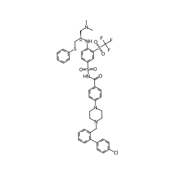 CN(C)C[C@H](CSc1ccccc1)Nc1ccc(S(=O)(=O)NC(=O)c2ccc(N3CCN(Cc4ccccc4-c4ccc(Cl)cc4)CC3)cc2)cc1S(=O)(=O)C(F)(F)F